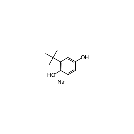 CC(C)(C)c1cc(O)ccc1O.[Na]